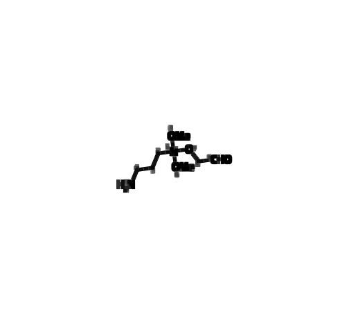 CO[Si](CCCN)(OC)OCC=O